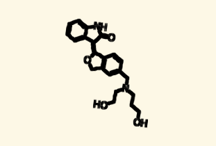 O=C1Nc2ccccc2C1=C1OCc2cc(CN(CCO)CCCO)ccc21